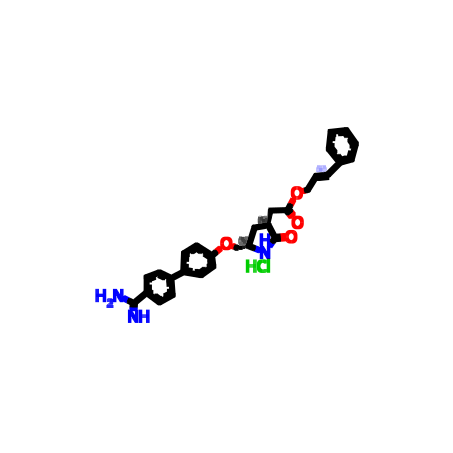 Cl.N=C(N)c1ccc(-c2ccc(OC[C@@H]3C[C@@H](CC(=O)OC/C=C/c4ccccc4)C(=O)N3)cc2)cc1